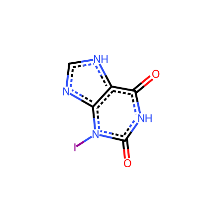 O=c1[nH]c(=O)n(I)c2nc[nH]c12